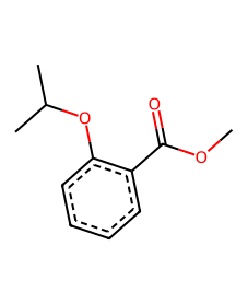 COC(=O)c1ccccc1OC(C)C